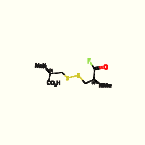 CN[C@@H](CSSC[C@H](NC)C(=O)F)C(=O)O